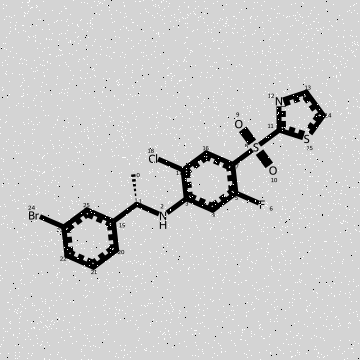 C[C@H](Nc1cc(F)c(S(=O)(=O)c2n[c]cs2)cc1Cl)c1cccc(Br)c1